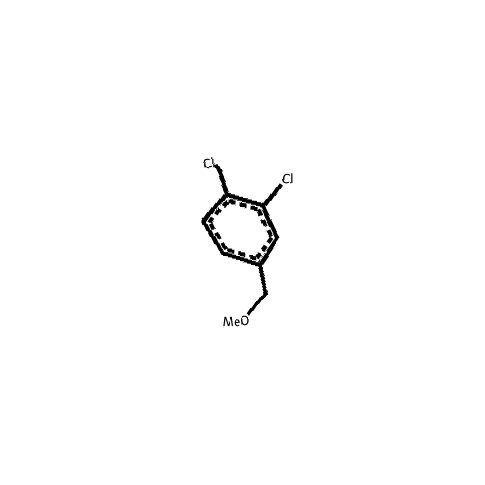 [CH2-][OH+]Cc1ccc(Cl)c(Cl)c1